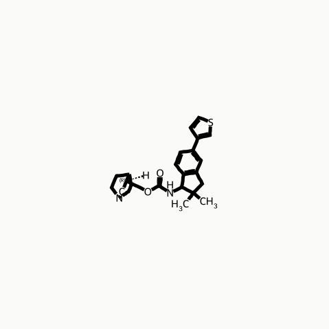 CC1(C)Cc2cc(-c3ccsc3)ccc2C1NC(=O)O[C@H]1CN2CCC1CC2